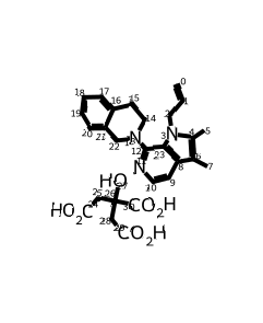 C=CCn1c(C)c(C)c2ccnc(N3CCc4ccccc4C3)c21.O=C(O)CC(O)(CC(=O)O)C(=O)O